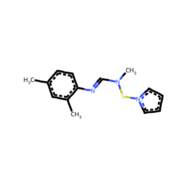 Cc1ccc(N=CN(C)Sn2cccc2)c(C)c1